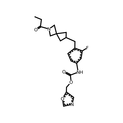 CCC(=O)N1CC2(CC(Cc3ccc(NC(=O)OCc4cnco4)cc3F)C2)C1